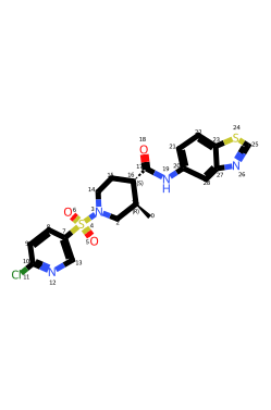 C[C@H]1CN(S(=O)(=O)c2ccc(Cl)nc2)CC[C@@H]1C(=O)Nc1ccc2scnc2c1